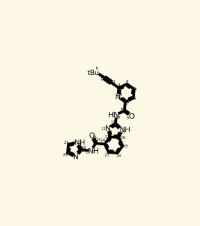 CC(C)(C)C#Cc1cccc(C(=O)Nc2nc3c(C(=O)Nc4ncc[nH]4)cccc3[nH]2)n1